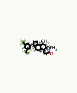 C[C@H]1C[C@H]2N(C)C(=O)CC[C@]2(C)[C@H]2CC[C@]3(C)[C@@H](c4cc(C(F)(F)F)cc(C(F)(F)F)c4)CC[C@H]3[C@H]12